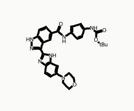 CC(C)(C)OC(=O)Nc1ccc(NC(=O)c2ccc3[nH]nc(-c4nc5ccc(N6CCOCC6)cc5[nH]4)c3c2)cc1